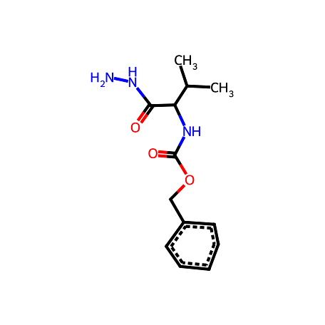 CC(C)C(NC(=O)OCc1ccccc1)C(=O)NN